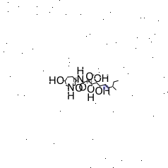 CCC(C)/C=C/C(O)C(O)C(O)[C@@H](OC)C(=O)N[C@H]1CCC(O)CNC1=O